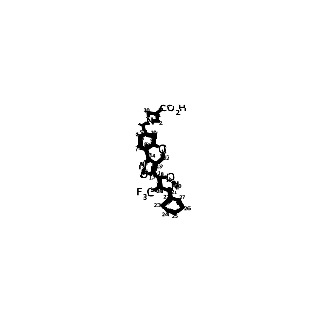 O=C(O)C1CN(Cc2ccc3c(c2)OCc2c-3noc2-c2onc(-c3ccccc3)c2C(F)(F)F)C1